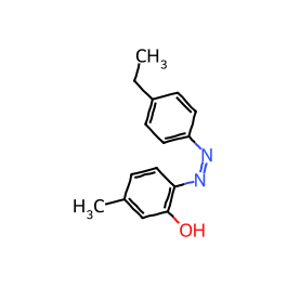 CCc1ccc(/N=N\c2ccc(C)cc2O)cc1